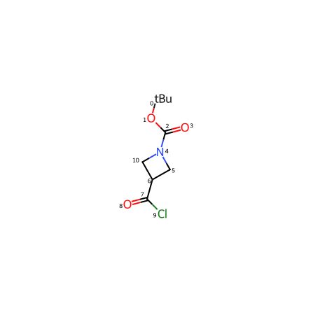 CC(C)(C)OC(=O)N1CC(C(=O)Cl)C1